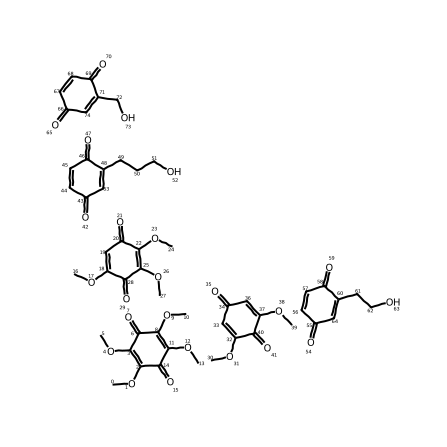 COC1=C(OC)C(=O)C(OC)=C(OC)C1=O.COC1=CC(=O)C(OC)=C(OC)C1=O.COC1=CC(=O)C=C(OC)C1=O.O=C1C=CC(=O)C(CCCO)=C1.O=C1C=CC(=O)C(CCO)=C1.O=C1C=CC(=O)C(CO)=C1